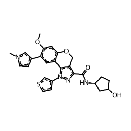 COc1cc2c(cc1-c1ccn(C)c1)-c1c(c(C(=O)N[C@H]3CC[C@@H](O)C3)nn1-c1ccsc1)CO2